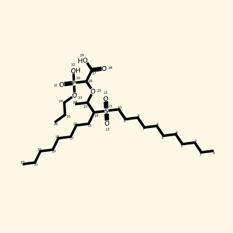 CCCCCCCCCCCS(=O)(=O)C(CCCCCCCC)C(C)OC(C(=O)O)P(=O)(O)OCCC